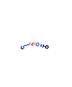 O=C(CS(=O)(=O)N1CCN(c2ncc(-c3ccc(F)cc3)cn2)CC1)N(O)CCCCc1ncccn1